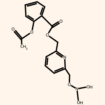 CC(=O)Oc1ccccc1C(=O)OCc1cccc(CON(O)O)n1